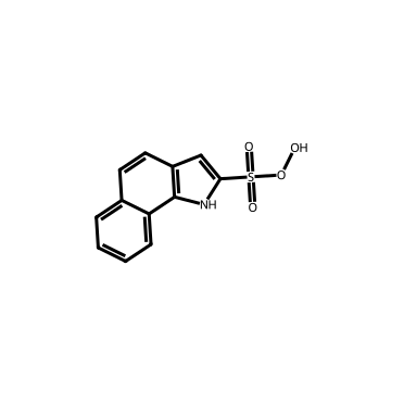 O=S(=O)(OO)c1cc2ccc3ccccc3c2[nH]1